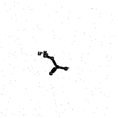 CO[Si](=O)[O-].[Li+]